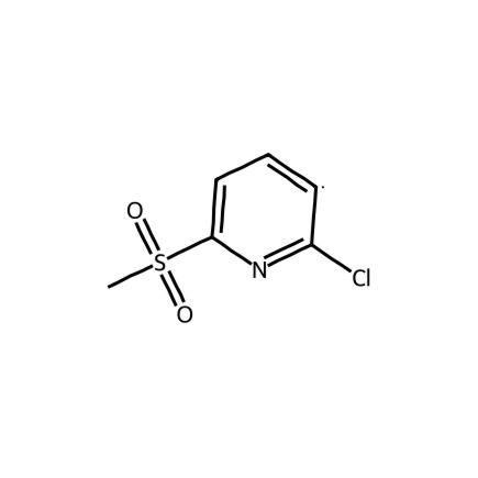 CS(=O)(=O)c1cc[c]c(Cl)n1